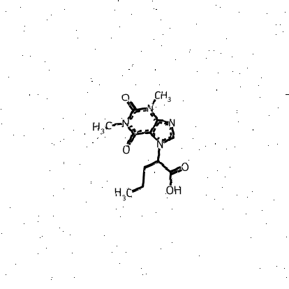 CCCC(C(=O)O)n1cnc2c1c(=O)n(C)c(=O)n2C